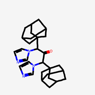 O=C(C(n1ccnc1)C12CC3CC(CC(C3)C1)C2)C(n1ccnc1)C12CC3CC(CC(C3)C1)C2